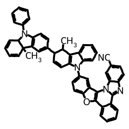 CC1c2c(n(-c3ccc4oc5c6ccccc6c6nc7ccc(C#N)cc7n6c5c4c3)c3ccccc23)C=CC1c1ccc2c(c1)C1(C)C=CC=CC1N2c1ccccc1